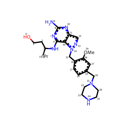 CCCC(CCO)Nc1nc(N)nc2cnn(Cc3ccc(CN4CCNCC4)cc3OC)c12